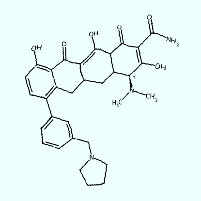 CN(C)[C@@H]1C(O)=C(C(N)=O)C(=O)C2C(O)=C3C(=O)c4c(O)ccc(-c5cccc(CN6CCCC6)c5)c4CC3CC21